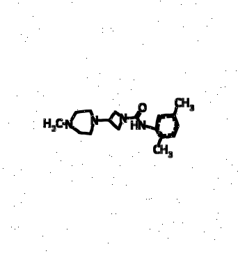 Cc1ccc(C)c(NC(=O)N2CC(N3CCN(C)CC3)C2)c1